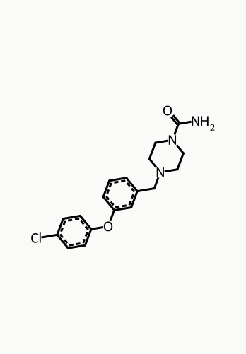 NC(=O)N1CCN(Cc2cccc(Oc3ccc(Cl)cc3)c2)CC1